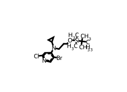 CC(C)(C)[Si](C)(C)OCCCN(c1cc(Cl)ncc1Br)C1CC1